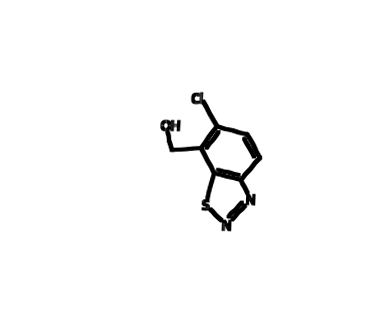 OCc1c(Cl)ccc2nnsc12